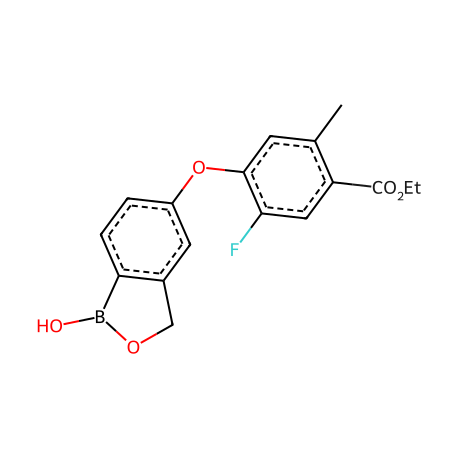 CCOC(=O)c1cc(F)c(Oc2ccc3c(c2)COB3O)cc1C